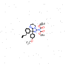 C=CCc1cccc(C2(c3ccc(OC(F)(F)F)cc3)N=C(N(C(=O)OC(C)(C)C)C(=O)OC(C)(C)C)N3CCCN=C32)c1